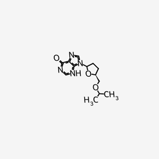 CC(C)OC[C@@H]1CCC(n2cnc3c(=O)nc[nH]c32)O1